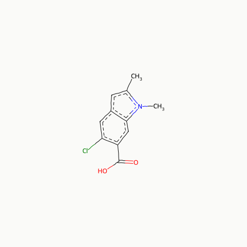 Cc1cc2cc(Cl)c(C(=O)O)cc2n1C